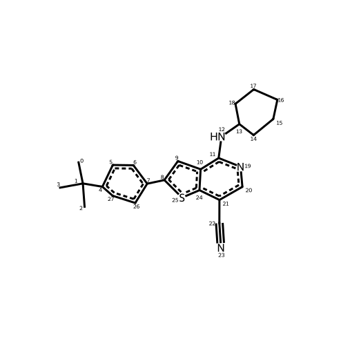 CC(C)(C)c1ccc(-c2cc3c(NC4CCCCC4)ncc(C#N)c3s2)cc1